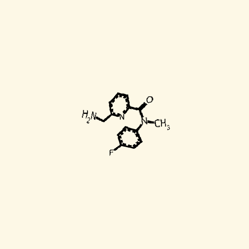 CN(C(=O)c1cccc(CN)n1)c1ccc(F)cc1